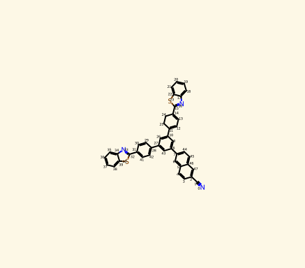 N#Cc1ccc2cc(-c3cc(C4=CC=C(c5nc6ccccc6s5)CC4)cc(-c4ccc(-c5nc6ccccc6s5)cc4)c3)ccc2c1